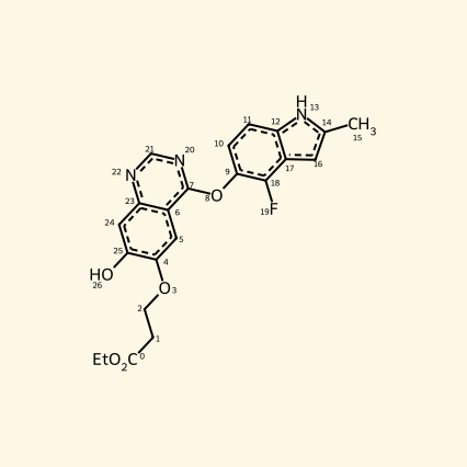 CCOC(=O)CCOc1cc2c(Oc3ccc4[nH]c(C)cc4c3F)ncnc2cc1O